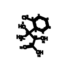 CC(O)(c1ccccc1Cl)C(O)C(=O)O